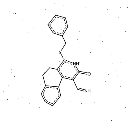 N=Cc1c2c(c(SCc3ccccc3)[nH]c1=O)CCc1ccccc1-2